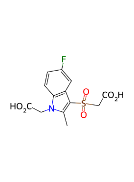 Cc1c(S(=O)(=O)CC(=O)O)c2cc(F)ccc2n1CC(=O)O